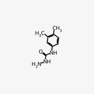 Cc1ccc(NC(=O)NN)cc1C